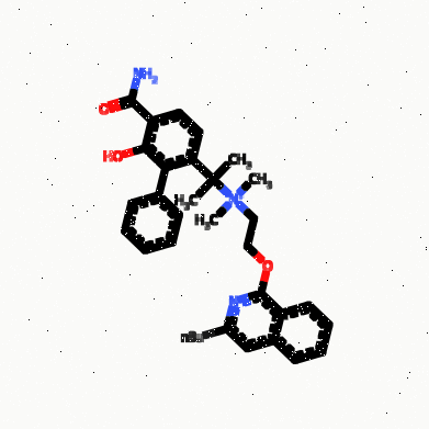 CCCCc1cc2ccccc2c(OCC[N+](C)(C)C(C)(C)c2ccc(C(N)=O)c(O)c2-c2ccccc2)n1